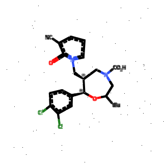 CC(C)(C)C1CN(C(=O)O)C[C@H](Cn2cccc(C#N)c2=O)[C@H](c2ccc(Cl)c(Cl)c2)O1